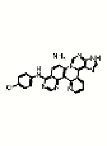 Cc1ccc2c(Nc3ccc(Cl)cc3)ncnc2c1-c1ncccc1-c1ncnc2[nH]cnc12.N